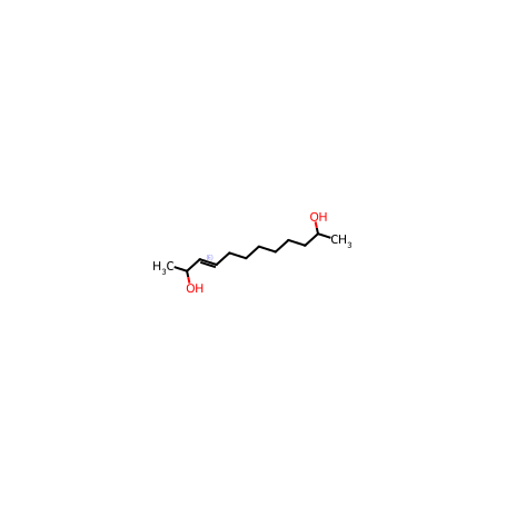 CC(O)/C=C/CCCCCCC(C)O